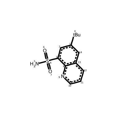 CC(C)(C)c1cc(S(N)(=O)=O)c2ncccc2c1